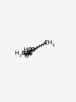 CCCCCCCCCCCCOCC(O)c1nc(C(=O)OCC)cs1